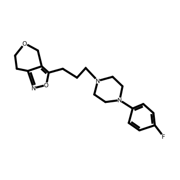 Fc1ccc(N2CCN(CCCc3onc4c3COCC4)CC2)cc1